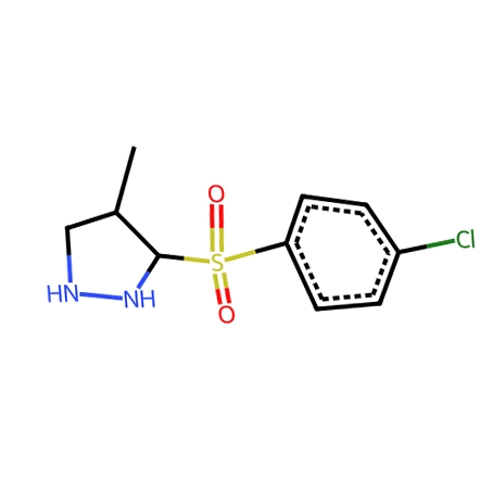 CC1CNNC1S(=O)(=O)c1ccc(Cl)cc1